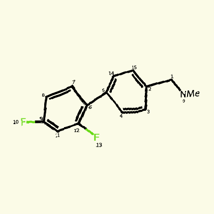 CNCc1ccc(-c2ccc(F)cc2F)cc1